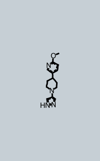 COc1ccc(C2CCN(c3cn[nH]c3)CC2)cn1